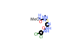 CONC(=O)c1ncnc(Sc2ccc(NC(=O)Nc3ccc(Cl)c(Cl)c3)cn2)n1